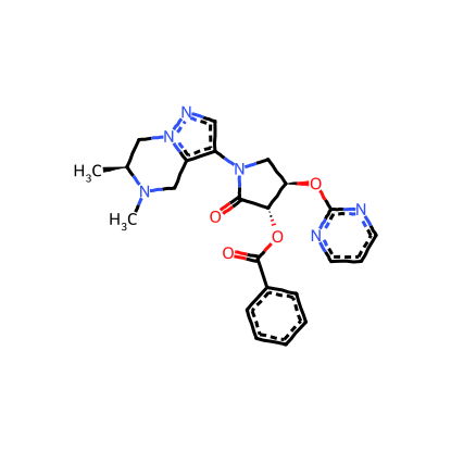 C[C@H]1Cn2ncc(N3C[C@@H](Oc4ncccn4)[C@H](OC(=O)c4ccccc4)C3=O)c2CN1C